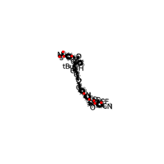 Cc1ncsc1-c1ccc(CNC(=O)[C@@H]2CCCN2C(=O)[C@@H](NC(=O)COCCOCCOc2ccc(-c3ccc(N4C(=S)N(c5ccc(C#N)c(C(F)(F)F)c5F)C(=O)C4(C)C)cn3)cc2)C(C)(C)C)cc1